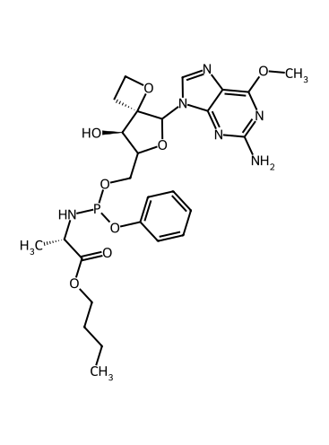 CCCCOC(=O)[C@H](C)NP(OCC1OC(n2cnc3c(OC)nc(N)nc32)[C@@]2(CCO2)[C@@H]1O)Oc1ccccc1